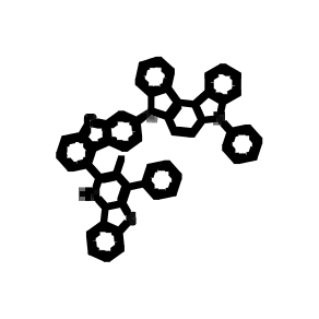 CC1=C(c2cccc3oc4cc([C@@H]5C6=C(c7ccccc75)C5c7ccccc7N(c7ccccc7)C5C=C6)ccc4c23)NC2C(=C1c1ccccc1)Sc1ccccc12